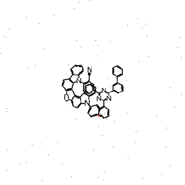 N#Cc1cc(-c2nc(-c3ccccc3)nc(-c3cccc(-c4ccccc4)c3)n2)ccc1-n1c2ccccc2c2ccc3oc4ccc5c(c6ccccc6n5-c5ccccc5)c4c3c21